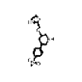 CS(=O)(=O)c1ccc(C2CNCC(OCC3NCCS3)C2)cc1